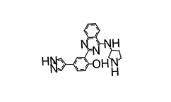 Oc1ccc(-c2cn[nH]c2)cc1-c1nc(N[C@H]2CCNC2)c2ccccc2n1